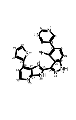 Fc1c(-c2cncnc2)ccc2[nH]nc(-c3nc4c(-c5cccs5)ccnc4[nH]3)c12